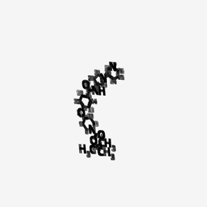 CC(C)(C)OC(=O)N1CCC(Oc2ccc(C(=O)N[C@@H]3CCN(c4cccnc4)C3)cc2)CC1